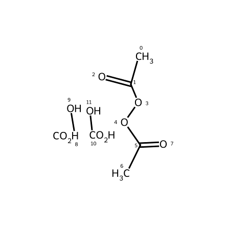 CC(=O)OOC(C)=O.O=C(O)O.O=C(O)O